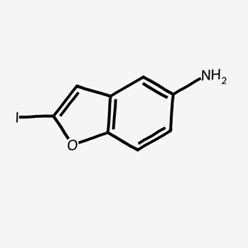 Nc1ccc2oc(I)cc2c1